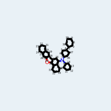 c1ccc(-c2ccc(N(c3ccccc3)c3cc4c5cc6ccccc6cc5oc4c4ccccc34)cc2)cc1